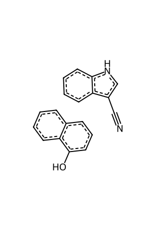 N#Cc1c[nH]c2ccccc12.Oc1cccc2ccccc12